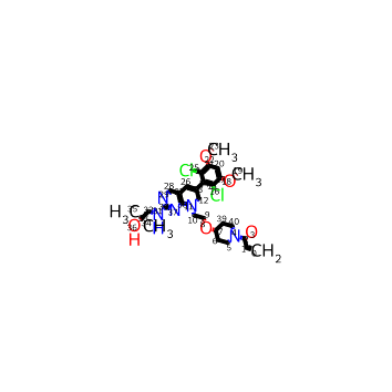 C=CC(=O)N1CCC(OCCN2CC(c3c(Cl)c(OC)cc(OC)c3Cl)=Cc3cnc(NCC(C)(C)O)nc32)CC1